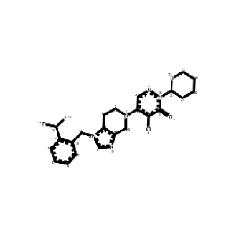 O=c1c(Cl)c(N2CCc3c(ncn3Cc3ccccc3C(F)F)C2)cnn1C1CCCCO1